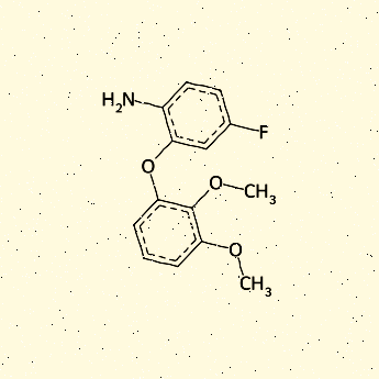 COc1cccc(Oc2cc(F)ccc2N)c1OC